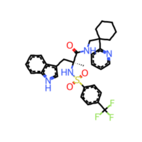 C[C@@](Cc1c[nH]c2ccccc12)(NS(=O)(=O)c1ccc(C(F)(F)F)cc1)C(=O)NCC1(c2ccccn2)CCCCC1